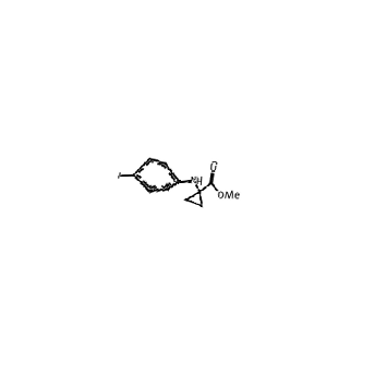 COC(=O)C1(Nc2ccc(I)cc2)CC1